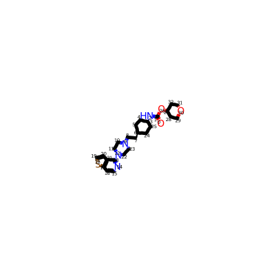 O=C(N[C@H]1CC[C@H](CCN2CCN(c3nccc4sccc34)CC2)CC1)OC1CCOCC1